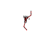 CCCCCCCC/C=C\CCCCCCCCOCCN1CC[N+](CCCN)(CCOCCCCCCCC/C=C\CCCCCCCC)CC1